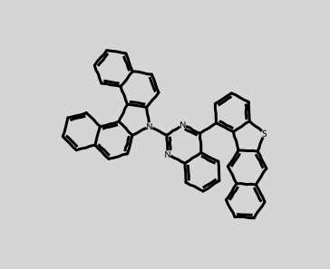 c1ccc2cc3c(cc2c1)sc1cccc(-c2nc(-n4c5ccc6ccccc6c5c5c6ccccc6ccc54)nc4ccccc24)c13